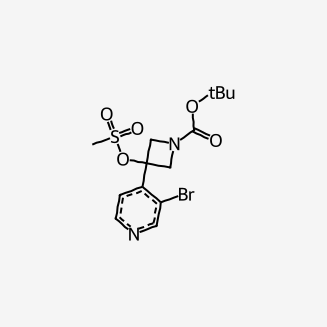 CC(C)(C)OC(=O)N1CC(OS(C)(=O)=O)(c2ccncc2Br)C1